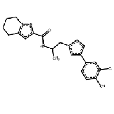 CC(Cn1ccc(-c2ccc(C#N)c(Cl)c2)n1)NC(=O)c1cc2n(n1)CCCC2